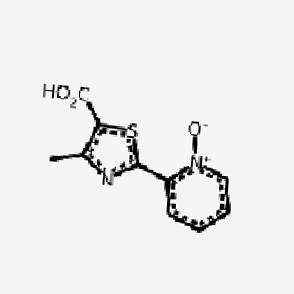 Cc1nc(-c2cccc[n+]2[O-])sc1C(=O)O